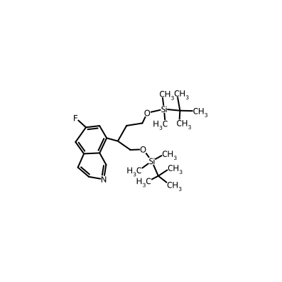 CC(C)(C)[Si](C)(C)OCCC(CO[Si](C)(C)C(C)(C)C)c1cc(F)cc2ccncc12